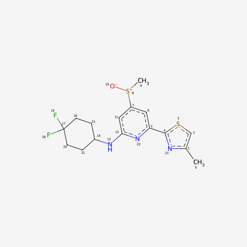 Cc1csc(-c2cc([S+](C)[O-])cc(NC3CCC(F)(F)CC3)n2)n1